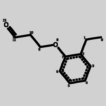 CCc1ccccc1OCC[C]=O